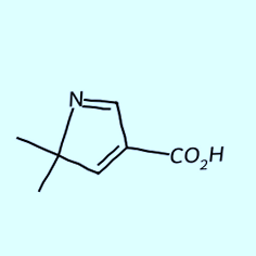 CC1(C)C=C(C(=O)O)C=N1